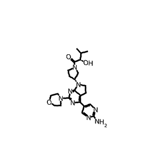 CC(C)[C@@H](O)C(=O)N1CC[C@H](N2CCc3c(-c4cnc(N)nc4)nc(N4CCOCC4)nc32)C1